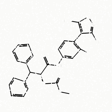 Cc1noc(C)c1-c1ccc(NC(=O)[C@@H](OC(=O)NC(C)(C)C)C(c2ccccc2)c2ccccc2)cc1F